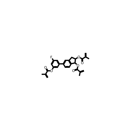 C=C(C)C(=O)Oc1cc(F)cc(-c2ccc3c(c2)CC(OC(=O)C(=C)C)C3OC(=O)C(=C)C)c1